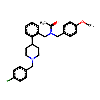 COc1ccc(CN(Cc2ccccc2C2CCN(Cc3ccc(F)cc3)CC2)C(C)=O)cc1